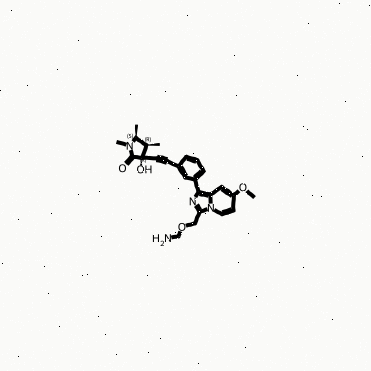 COc1ccn2c(COCN)nc(-c3cccc(C#C[C@@]4(O)C(=O)N(C)[C@@H](C)[C@H]4C)c3)c2c1